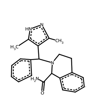 Cc1n[nH]c(C)c1C(c1ccccc1)N1CCc2c[c]ccc2C1C(N)=O